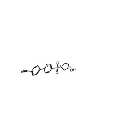 N#Cc1ccc(-c2ccc(S(=O)(=O)N3CC[C@H](O)C3)cn2)cc1